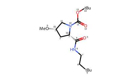 CO[C@H]1C[C@@H](C(=O)NCCC(C)(C)C)N(C(=O)OC(C)(C)C)C1